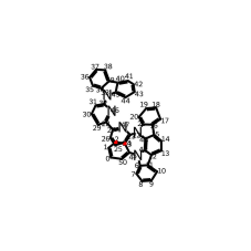 C1=CCCC(n2c3ccccc3c3ccc4c5ccccc5n(-c5cccc(-c6cccc(-n7c8ccccc8c8ccccc87)n6)n5)c4c32)=C1